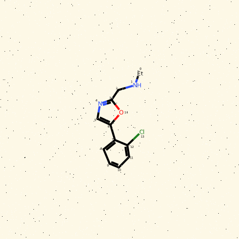 CCNCc1ncc(-c2ccccc2Cl)o1